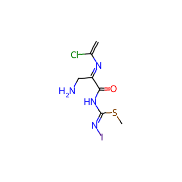 C=C(Cl)/N=C(\CN)C(=O)N/C(=N/I)SC